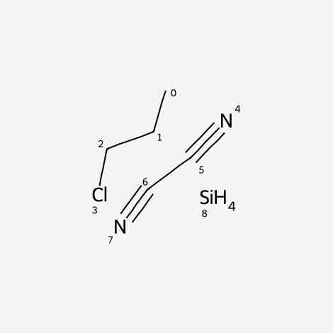 CCCCl.N#CC#N.[SiH4]